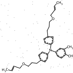 C/C=C/COCCCc1ccc(N(c2ccc(CCCOC/C=C/C)cc2)c2ccc(C)c(C)c2)cc1